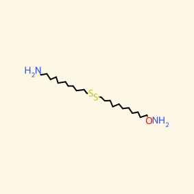 NCCCCCCCCCCCSSCCCCCCCCCCCON